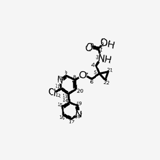 O=C(O)NCC1(COc2cnc(Cl)c(-c3cccnc3)c2)CC1